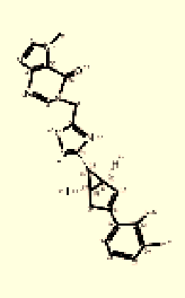 Cn1cnc2ncn(Cc3nc([C@@H]4[C@H]5C=C(c6cccc(F)c6F)C[C@H]54)no3)c(=O)c21